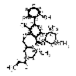 C=CC(=O)N1CC2COc3c(Cl)c(-c4c(O)cccc4F)nc(N4CCN(C)C[C@@H]4C)c3C(=O)N2[C@H](C)C1